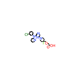 O=C(O)COCC1(F)CCN(c2cncc(N(c3cccc(Cl)c3)c3ccccn3)n2)CC1